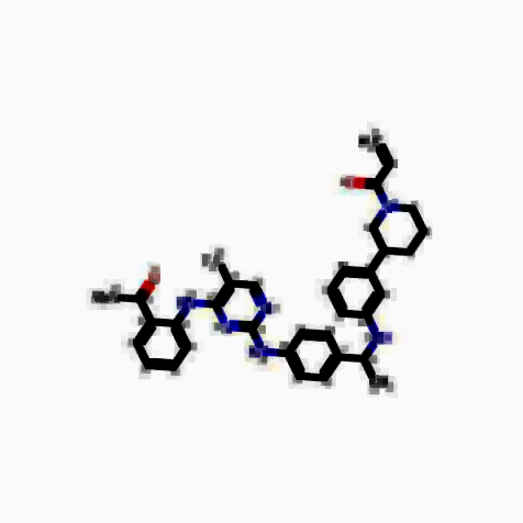 C=CC(=O)N1CCCC(c2cccc(NC(C)c3ccc(Nc4ncc(C(F)(F)F)c(Nc5ccccc5C(=O)NC)n4)cc3)c2)C1